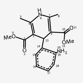 COC(=O)C1=C(C)NC(C)=C(C(=O)OC)C1c1ccccc1N